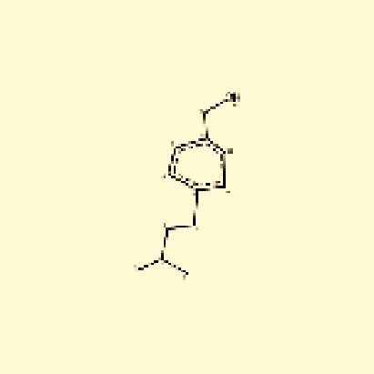 CC(C)CCc1ccc(CO)cc1